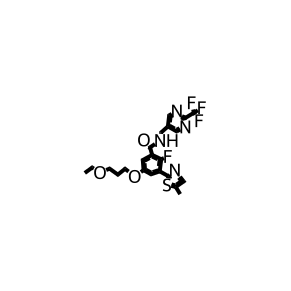 CCOCCCOc1cc(C(=O)NCc2cnc(C(F)(F)F)nc2)c(F)c(-c2ncc(C)s2)c1